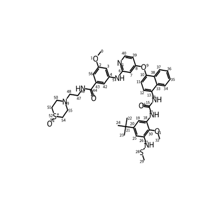 COc1cc(Nc2cc(Oc3ccc(NC(=O)Nc4cc(C(C)(C)C)cc(NSC)c4OC)c4ccccc34)ccn2)cc(C(=O)NCCN2CC[S+]([O-])CC2)c1